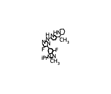 Cc1nc2c(F)cc(-c3nc(Nc4ccc(C(C)C5CCCCN5)cn4)ncc3F)cc2n1C(C)C